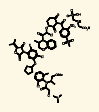 CC(C)=C1OC(=O)N(c2cc(OC3CCCC3)c(Cl)cc2F)C1=O.CC1COc2ccccc2N1C(=O)C(Cl)Cl.CCc1cccc(C)c1N(C(=O)CCl)C(C)COC.CS(=O)(=O)c1ccc(C(=O)C2C(=O)CCCC2=O)c([N+](=O)[O-])c1.C[S+](C)C.O=C(O)CNCP(=O)([O-])O